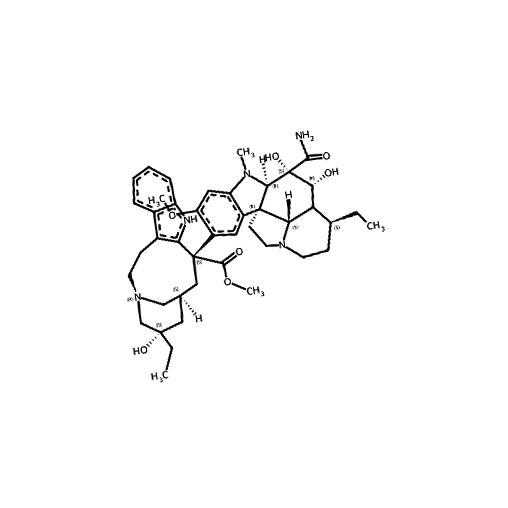 CC[C@H]1CCN2CC[C@]34c5cc([C@@]6(C(=O)OC)C[C@@H]7C[N@](CCc8c6[nH]c6ccccc86)C[C@](O)(CC)C7)c(OC)cc5N(C)[C@H]3[C@@](O)(C(N)=O)[C@H](O)C1[C@H]24